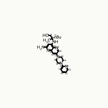 CCCC[C@](C)(CO)Nc1cc(N)nc2cc(N3CCN(c4ccccn4)CC3)cnc12